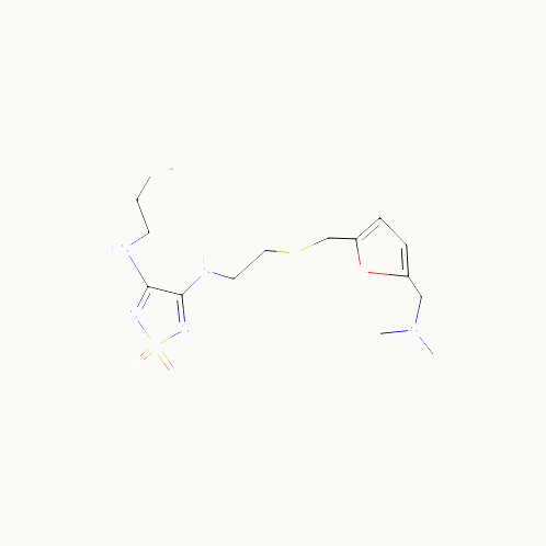 CCCCCCCCCCCCNC1=NS(=O)(=O)N=C1NCCSCc1ccc(CN(C)C)o1